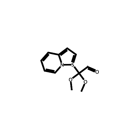 COC([C]=O)(OC)S1=CC=C2C=CC=CN21